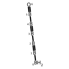 B/B=B\B=B/B=O